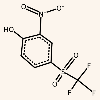 O=[N+]([O-])c1cc(S(=O)(=O)C(F)(F)F)ccc1O